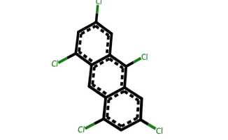 Clc1cc(Cl)c2cc3c(Cl)cc(Cl)cc3c(Cl)c2c1